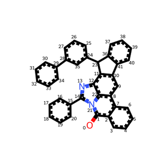 O=c1c2ccccc2c2cc3c(c4nc(-c5ccccc5)n1c42)C(c1cccc(-c2ccccc2)c1)c1ccccc1-3